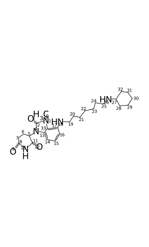 Cn1c(=O)n(C2CCC(=O)NC2=O)c2cccc(NCCCCCCCNC3CCCCC3)c21